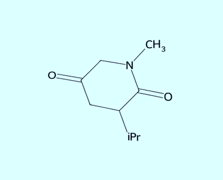 CC(C)C1CC(=O)CN(C)C1=O